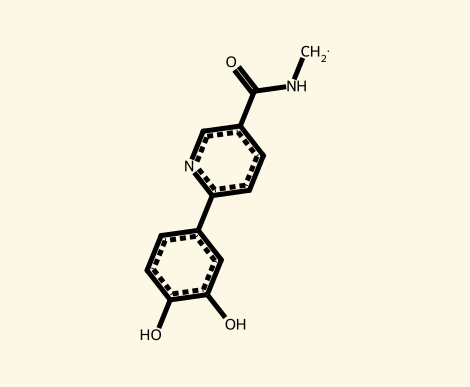 [CH2]NC(=O)c1ccc(-c2ccc(O)c(O)c2)nc1